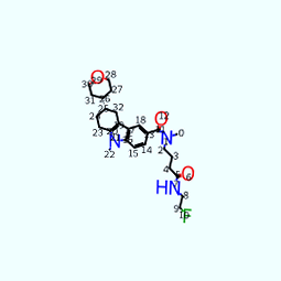 CN(CCCC(=O)NCCF)C(=O)c1ccc2c(c1)c1c(n2C)CC[C@H](C2CCOCC2)C1